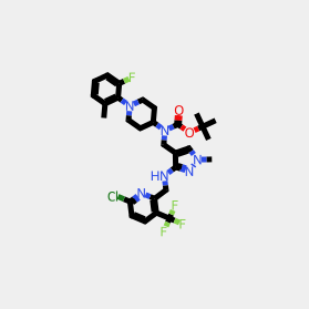 Cc1cccc(F)c1N1CCC(N(Cc2cn(C)nc2NCc2nc(Cl)ccc2C(F)(F)F)C(=O)OC(C)(C)C)CC1